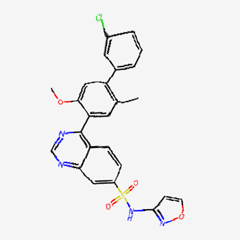 COc1cc(-c2cccc(Cl)c2)c(C)cc1-c1ncnc2cc(S(=O)(=O)Nc3ccon3)ccc12